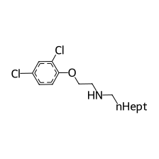 CCCCCCCCNCCOc1ccc(Cl)cc1Cl